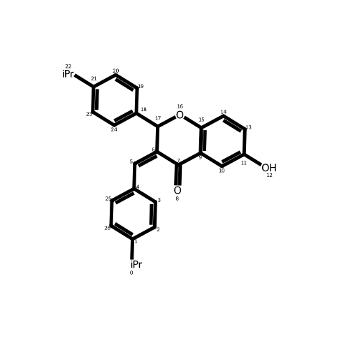 CC(C)c1ccc(C=C2C(=O)c3cc(O)ccc3OC2c2ccc(C(C)C)cc2)cc1